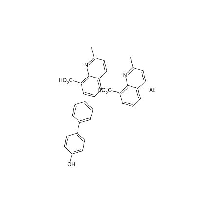 Cc1ccc2cccc(C(=O)O)c2n1.Cc1ccc2cccc(C(=O)O)c2n1.Oc1ccc(-c2ccccc2)cc1.[Al]